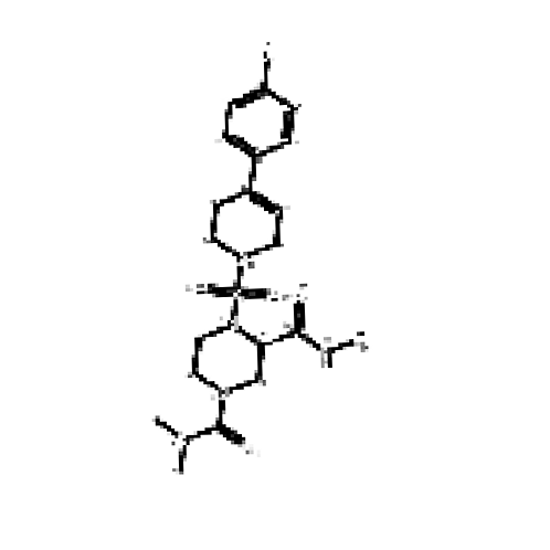 CN(C)C(=O)N1CCN(S(=O)(=O)N2CC=C(c3ccc(Cl)cc3)CC2)[C@@H](C(=O)NO)C1